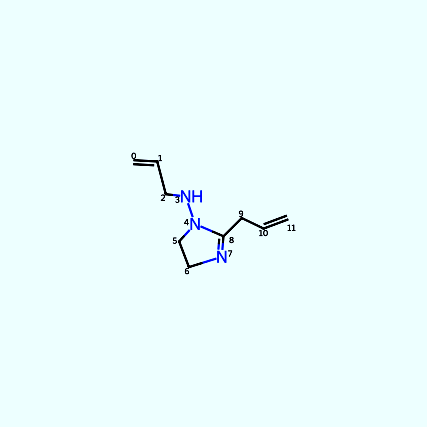 C=CCNN1CCN=C1CC=C